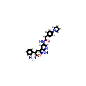 NC(=O)C(=Cc1c[nH]c2ncc(NC(=O)Cc3ccc(N4CCCC4)cc3)cc12)c1ccccc1